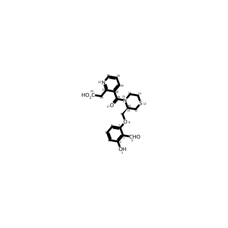 O=Cc1c(O)cccc1OC[C@@H]1CSCCN1C(=O)c1cccnc1CC(=O)O